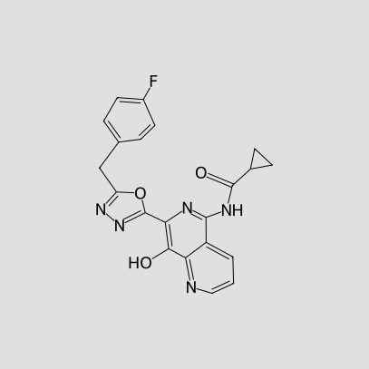 O=C(Nc1nc(-c2nnc(Cc3ccc(F)cc3)o2)c(O)c2ncccc12)C1CC1